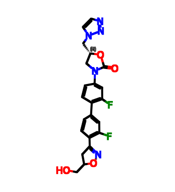 O=C1O[C@@H](Cn2ccnn2)CN1c1ccc(-c2ccc(C3=NOC(CO)C3)c(F)c2)c(F)c1